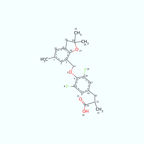 Cc1cc(COc2c(F)cc(CC(C)C(=O)O)cc2F)c2c(c1)CC(C)(C)O2